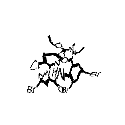 CCOC(=O)N(C)N(CC)C(=O)c1cc(Br)cc(Br)c1NC(=O)c1cc(Br)nn1-c1ncccc1Cl